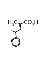 CC(=CC(I)c1ccccc1)C(=O)O